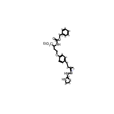 CCOC(=O)C(CCOc1ccc(CC/C(C)=N\NC2=NCCN2)cc1)NC(=O)OCc1ccccc1